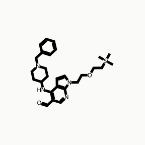 C[Si](C)(C)CCOCCn1ccc2c(NC3CCN(Cc4ccccc4)CC3)c(C=O)cnc21